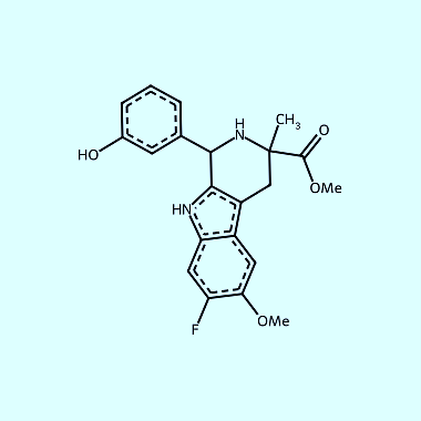 COC(=O)C1(C)Cc2c([nH]c3cc(F)c(OC)cc23)C(c2cccc(O)c2)N1